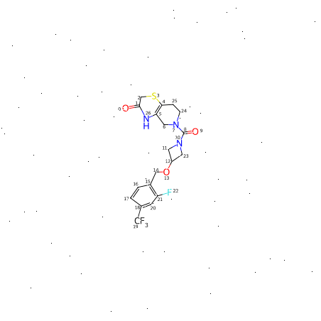 O=C1CSC2=C(CN(C(=O)N3CC(OCc4ccc(C(F)(F)F)cc4F)C3)CC2)N1